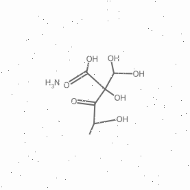 CC(O)C(=O)C(O)(C(=O)O)C(O)O.N